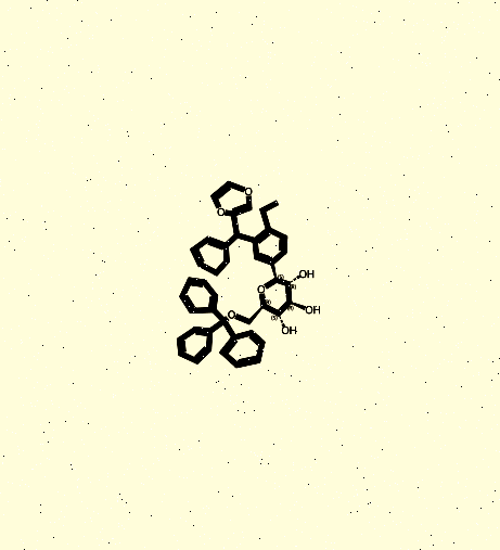 CCc1ccc([C@@H]2O[C@H](COC(c3ccccc3)(c3ccccc3)c3ccccc3)[C@@H](O)[C@H](O)[C@H]2O)cc1C(C1=CC=CCC1)C1=COC=CO1